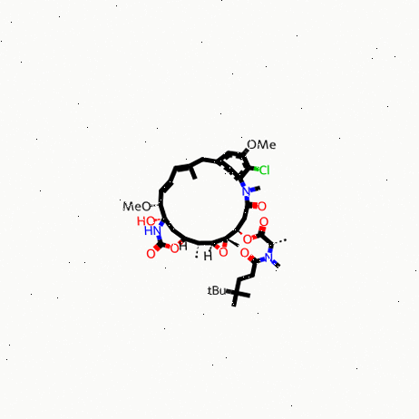 COc1cc2cc(c1Cl)N(C)C(=O)C[C@H](OC(=O)[C@H](C)N(C)C(=O)CCC(C)(C)C(C)(C)C)[C@]1(C)O[C@H]1[C@H](C)[C@@H]1C[C@@](O)(NC(=O)O1)[C@H](OC)/C=C/C=C(\C)C2